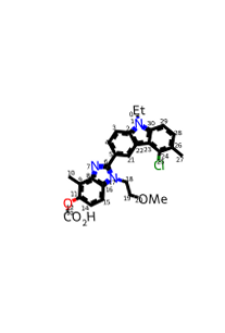 CCn1c2ccc(-c3nc4c(C)c(OC(=O)O)ccc4n3CCOC)cc2c2c(Cl)c(C)ccc21